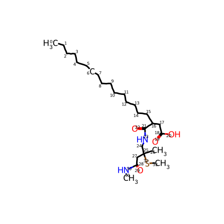 CCCCCCCCCCCCCCCCC(CC(=O)O)C(=O)NCC(C)(CC(=O)NC)SC